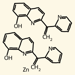 C=C(c1ccccn1)c1ccc2cccc(O)c2n1.C=C(c1ccccn1)c1ccc2cccc(O)c2n1.[Zn]